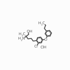 CCCc1cccc(Oc2ccc(CCC[C@@](C)(N)CO)c(Cl)c2)c1.Cl